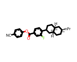 CCC[C@H]1CC[C@@H]2CC(c3ccc(C(=O)Oc4ccc(C#N)cc4)cc3F)CC[C@H]2C1